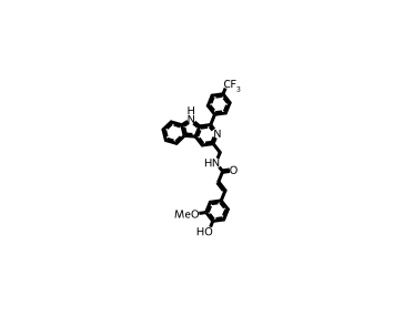 COc1cc(/C=C/C(=O)NCc2cc3c([nH]c4ccccc43)c(-c3ccc(C(F)(F)F)cc3)n2)ccc1O